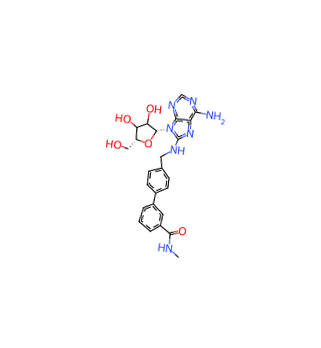 CNC(=O)c1cccc(-c2ccc(CNc3nc4c(N)ncnc4n3[C@@H]3O[C@H](CO)C(O)C3O)cc2)c1